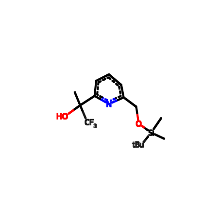 CC(O)(c1cccc(CO[Si](C)(C)C(C)(C)C)n1)C(F)(F)F